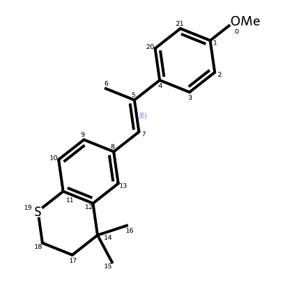 COc1ccc(/C(C)=C/c2ccc3c(c2)C(C)(C)CCS3)cc1